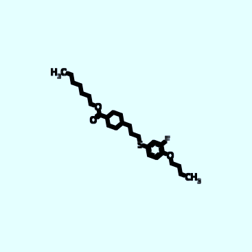 CCCCCCCOC(=O)C1CCC(CCCSc2ccc(OCCCC)c(F)c2)CC1